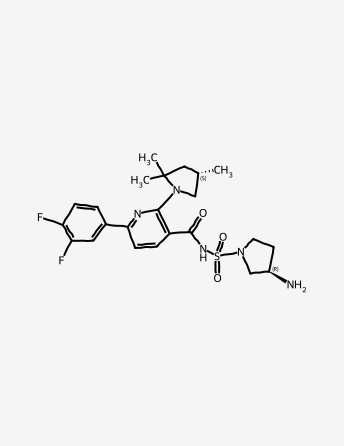 C[C@@H]1CN(c2nc(-c3ccc(F)c(F)c3)ccc2C(=O)NS(=O)(=O)N2CC[C@@H](N)C2)C(C)(C)C1